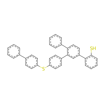 Sc1ccccc1-c1ccc(-c2ccccc2)c(-c2ccc(Sc3ccc(-c4ccccc4)cc3)cc2)c1